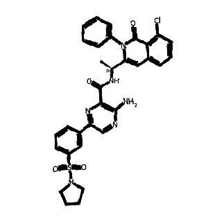 C[C@H](NC(=O)c1nc(-c2cccc(S(=O)(=O)N3CCCC3)c2)cnc1N)c1cc2cccc(Cl)c2c(=O)n1-c1ccccc1